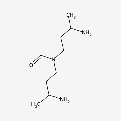 CC(N)CCN(C=O)CCC(C)N